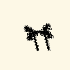 CCCCCCCCCCCCC(OC(=O)CCCC(=O)OC(CCCCCCCCCCCC)(c1coc([Si](CC)(CC)CC)c1)c1coc([Si](CC)(CC)CC)c1)(c1coc([Si](CC)(CC)CC)c1)c1coc([Si](CC)(CC)CC)c1